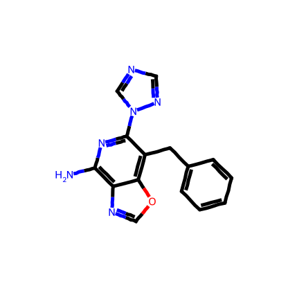 Nc1nc(-n2cncn2)c(Cc2ccccc2)c2ocnc12